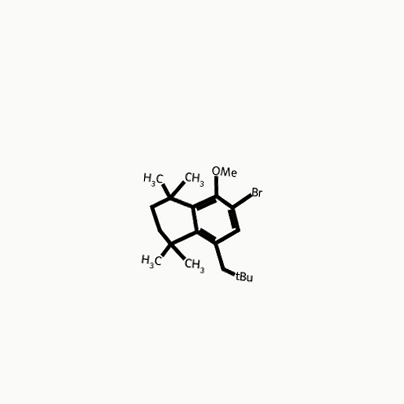 COc1c(Br)cc(CC(C)(C)C)c2c1C(C)(C)CCC2(C)C